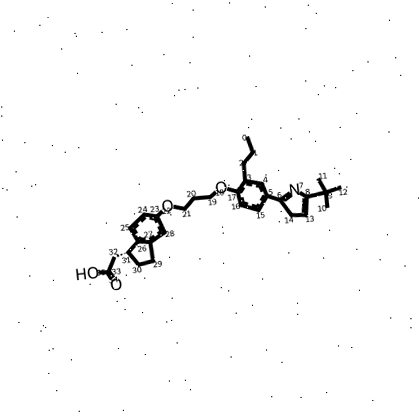 CCCc1cc(C2=NC(C(C)(C)C)=CC2)ccc1OCCCOc1ccc2c(c1)CC[C@@H]2CC(=O)O